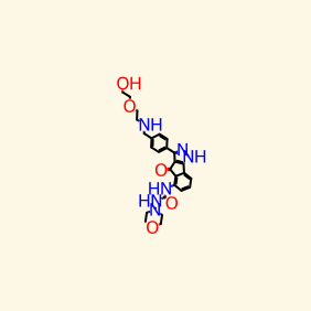 O=C(Nc1cccc2c1C(=O)c1c(-c3ccc(CNCCOCCO)cc3)n[nH]c1-2)NN1CCOCC1